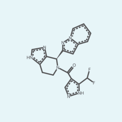 O=C(c1cn[nH]c1C(F)F)N1CCc2[nH]cnc2[C@H]1c1cc2ccccn2n1